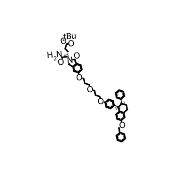 CC(C)(C)OC(=O)CC[C@@H](C(N)=O)N1Cc2cc(OCCCOCCCOc3ccc([C@@H]4c5ccc(OCc6ccccc6)cc5CC[C@@H]4c4ccccc4)cc3)ccc2C1=O